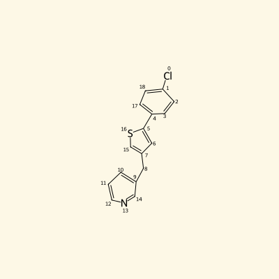 Clc1ccc(-c2cc(Cc3cccnc3)cs2)cc1